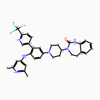 Cc1cc(Nc2ccc(N3CCC(N4CCc5ccccc5NC4=O)CC3)cc2-c2ccc(C(F)(F)F)nc2)cc(C)n1